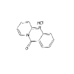 Cl.O=c1c2ccccc2nc2ccccn12